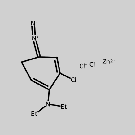 CCN(CC)C1=CCC(=[N+]=[N-])C=C1Cl.[Cl-].[Cl-].[Zn+2]